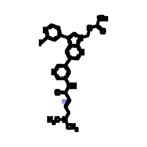 CN(C)C/C=C/C(=O)Nc1cncc(-c2cnc3c(c2)c(-c2ccnc(F)c2)cn3COC(=O)C(C)(C)C)c1